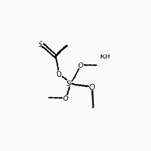 CO[Si](OC)(OC)OC(C)=S.[KH]